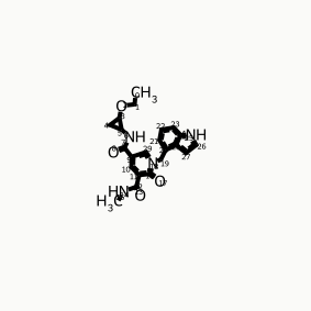 CCOC1CC1NC(=O)c1cc(C(=O)NC)c(=O)n(Cc2cccc3[nH]ccc23)c1